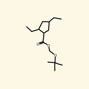 CCC1CC(CC)C(C(=O)OCOC(C)(C)C)C1